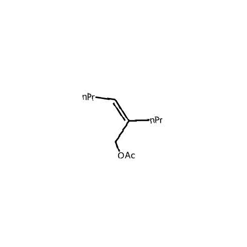 CCCC=C(CCC)COC(C)=O